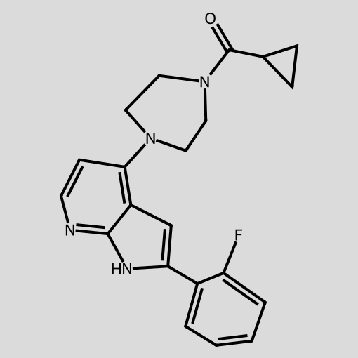 O=C(C1CC1)N1CCN(c2ccnc3[nH]c(-c4ccccc4F)cc23)CC1